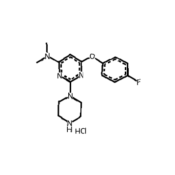 CN(C)c1cc(Oc2ccc(F)cc2)nc(N2CCNCC2)n1.Cl